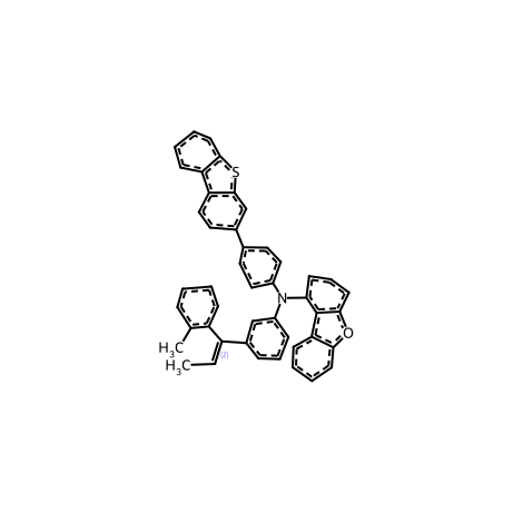 C/C=C(/c1cccc(N(c2ccc(-c3ccc4c(c3)sc3ccccc34)cc2)c2cccc3oc4ccccc4c23)c1)c1ccccc1C